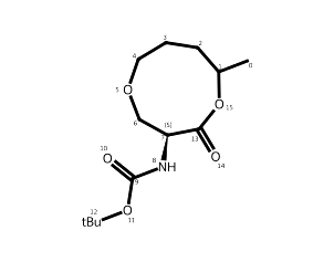 CC1CCCOC[C@H](NC(=O)OC(C)(C)C)C(=O)O1